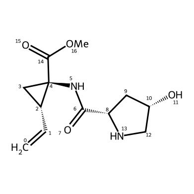 C=C[C@@H]1C[C@]1(NC(=O)[C@@H]1C[C@H](O)CN1)C(=O)OC